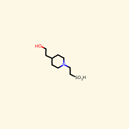 O=S(=O)(O)CCN1CCC(CCO)CC1